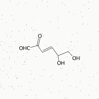 O=CC(=O)C=CC(O)CO